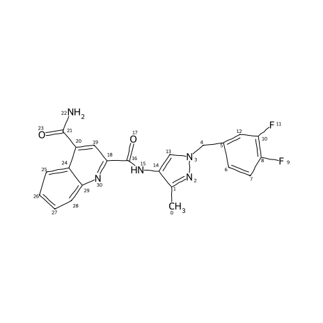 Cc1nn(Cc2ccc(F)c(F)c2)cc1NC(=O)c1cc(C(N)=O)c2ccccc2n1